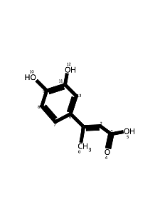 CC(=CC(=O)O)c1ccc(O)c(O)c1